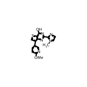 COc1ccc(-c2csc3c(O)nc(-c4nccn4C)nc23)cn1